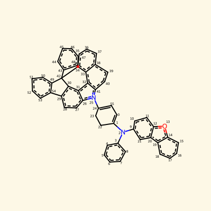 C1=C(N(c2ccccc2)c2ccc3oc4ccccc4c3c2)CCC(n2c3ccc4c5c3c3c6c(cccc6ccc32)C5(c2ccccc2)c2ccccc2-4)=C1